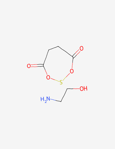 NCCO.O=C1CCC(=O)OSO1